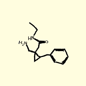 CCNC(=O)C1(CN)CC1c1ccccc1